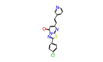 O=c1cc(/C=C/c2cccnc2)nc2sc(-c3ccc(Cl)cc3)nn12